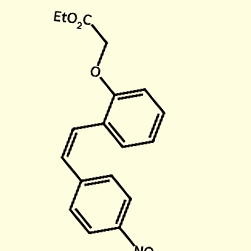 CCOC(=O)COc1ccccc1/C=C\c1ccc([N+](=O)[O-])cc1